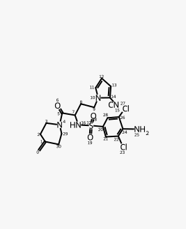 C=C1CCN(C(=O)C(CCn2cccc2C#N)NS(=O)(=O)c2cc(Cl)c(N)c(Cl)c2)CC1